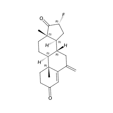 C=C1C[C@@H]2[C@H](CC[C@]3(C)C(=O)[C@H](F)C[C@@H]23)[C@@]2(C)CCC(=O)C=C12